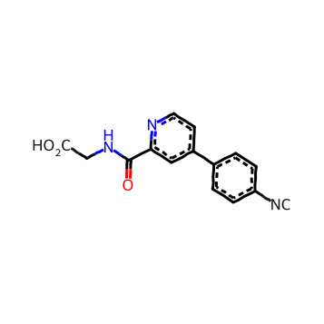 [C-]#[N+]c1ccc(-c2ccnc(C(=O)NCC(=O)O)c2)cc1